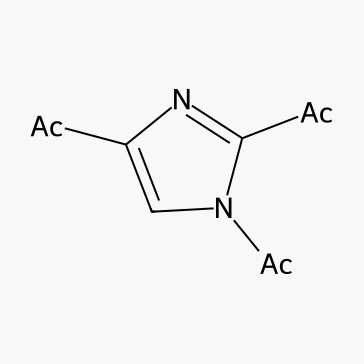 CC(=O)c1cn(C(C)=O)c(C(C)=O)n1